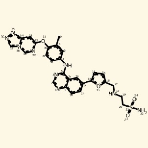 Cc1cc(Nc2ncnc3ccc(-c4ccc(CNCCS(N)(=O)=O)o4)cc23)ccc1Oc1cc2nncn2cn1